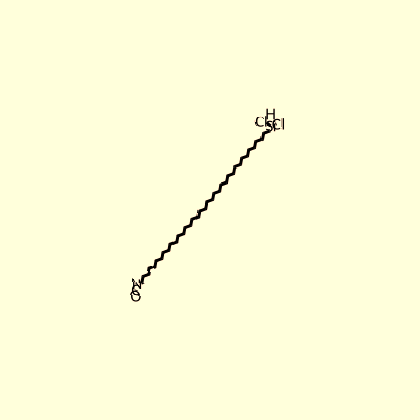 O=C=NCCCCCCCCCCCCCCCCCCCCCCCCCCCCCCCCCCCCC[SiH](Cl)Cl